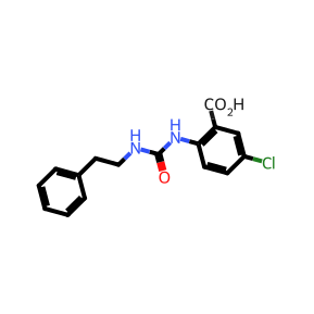 O=C(NCCc1ccccc1)Nc1ccc(Cl)cc1C(=O)O